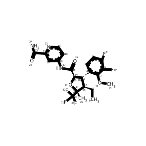 CC[C@@H]1[C@@H](c2ccc(F)c(F)c2OC)[C@H](C(=O)Nc2ccnc(C(N)=O)c2)O[C@@]1(C)C(F)(F)F